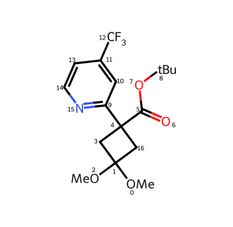 COC1(OC)CC(C(=O)OC(C)(C)C)(c2cc(C(F)(F)F)ccn2)C1